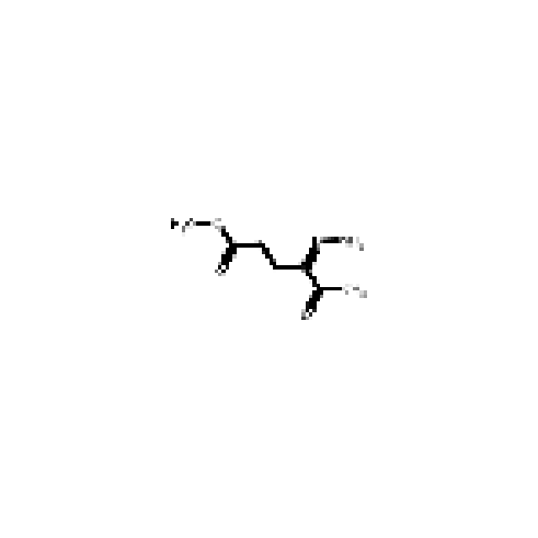 COC(=O)CCC(=NN)C(C)=O